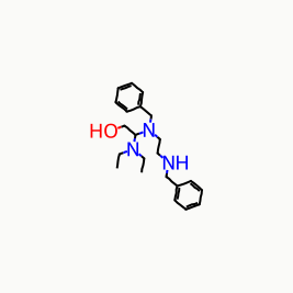 CCN(CC)C(CO)N(CCNCc1ccccc1)Cc1ccccc1